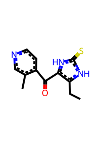 CCc1[nH]c(=S)[nH]c1C(=O)c1ccncc1C